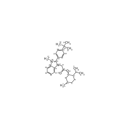 CC(C)C1CC[C@@H](C)C[C@H]1OC(=O)Cn1c(-c2ccc(C(C)(C)C)cc2)[n+](C)c2ccccc21